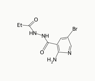 CCC(=O)NNC(=O)c1cc(Br)cnc1N